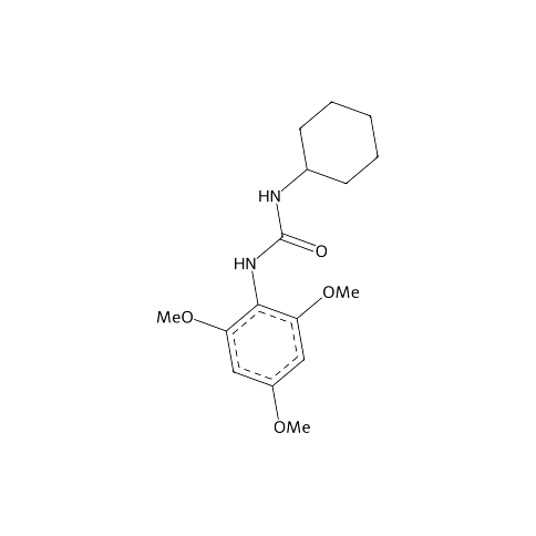 COc1cc(OC)c(NC(=O)NC2CCCCC2)c(OC)c1